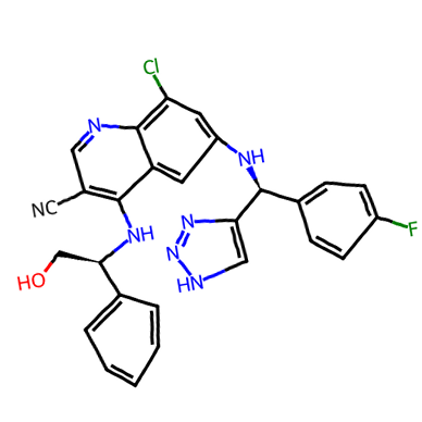 N#Cc1cnc2c(Cl)cc(N[C@@H](c3ccc(F)cc3)c3c[nH]nn3)cc2c1N[C@H](CO)c1ccccc1